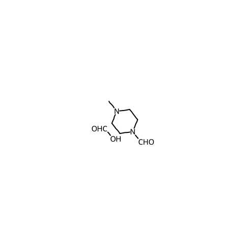 CN1CCN(C=O)CC1.O=CO